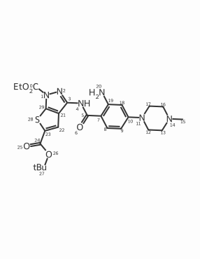 CCOC(=O)n1nc(NC(=O)c2ccc(N3CCN(C)CC3)cc2N)c2cc(C(=O)OC(C)(C)C)sc21